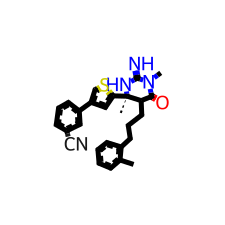 Cc1ccccc1CCCC1C(=O)N(C)C(=N)N[C@]1(C)c1cc(-c2cccc(C#N)c2)cs1